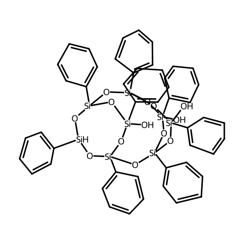 O[Si]1(c2ccccc2)O[Si]2(c3ccccc3)O[SiH](c3ccccc3)O[Si](c3ccccc3)(O1)O[Si]1(c3ccccc3)O[Si](O)(c3ccccc3)O[Si](c3ccccc3)(O[Si](O)(c3ccccc3)O1)O2